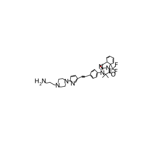 CC1(C)C(=O)N(C2(C(F)(F)F)C=CC=CC2C#N)C(=S)N1c1ccc(C#Cc2ccc(N3CCN(CCCN)CC3)nc2)cc1